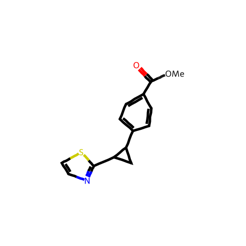 COC(=O)c1ccc(C2CC2c2nccs2)cc1